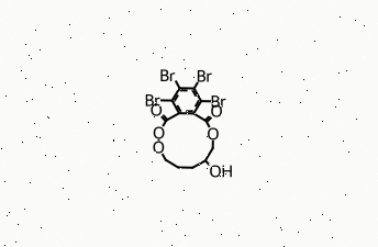 O=C1OCC(O)CCCOOC(=O)c2c(Br)c(Br)c(Br)c(Br)c21